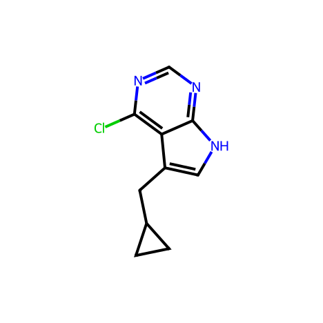 Clc1ncnc2[nH]cc(CC3CC3)c12